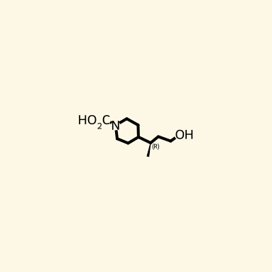 C[C@H](CCO)C1CCN(C(=O)O)CC1